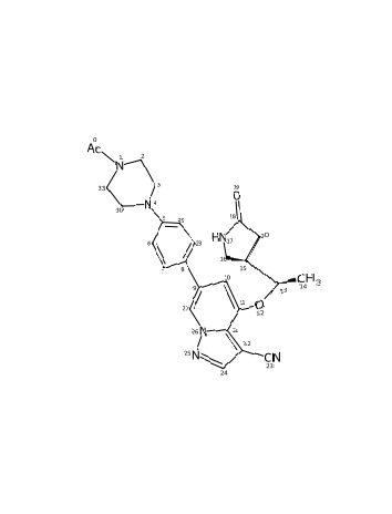 CC(=O)N1CCN(c2ccc(-c3cc(O[C@H](C)[C@H]4CNC(=O)C4)c4c(C#N)cnn4c3)cc2)CC1